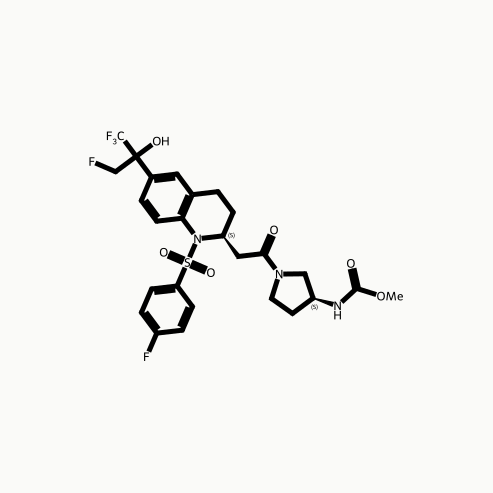 COC(=O)N[C@H]1CCN(C(=O)C[C@@H]2CCc3cc(C(O)(CF)C(F)(F)F)ccc3N2S(=O)(=O)c2ccc(F)cc2)C1